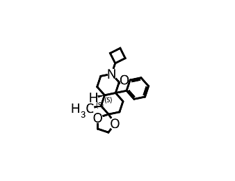 C[C@H]1[C@@H]2CCN(C3CCC3)C(=O)C2(c2ccccc2)CCC12OCCO2